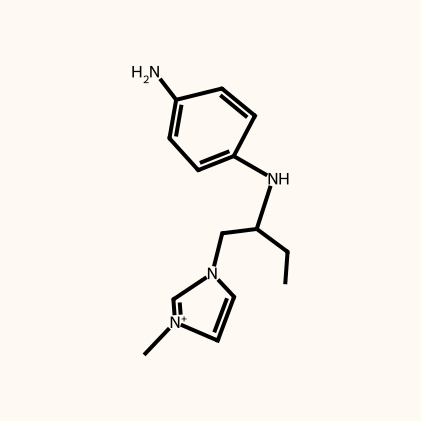 CCC(Cn1cc[n+](C)c1)Nc1ccc(N)cc1